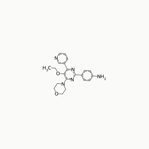 CCOc1c(-c2cccnc2)nc(-c2ccc(N)cc2)nc1N1CCOCC1